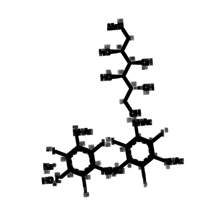 CC(=O)Nc1c(I)c(NC(C)=O)c(I)c(C(=O)O)c1I.CC(=O)Nc1c(I)c(NC(C)=O)c(I)c(C(=O)O)c1I.CNC[C@H](O)[C@@H](O)[C@H](O)[C@H](O)CO.[Na+]